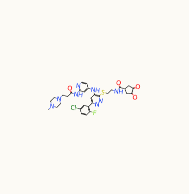 CN1CCN(CCC(=O)Nc2cc(Nc3cc(-c4cc(Cl)ccc4F)nnc3SCCNC(=O)C3CC(=O)C(=O)C3)ccn2)CC1